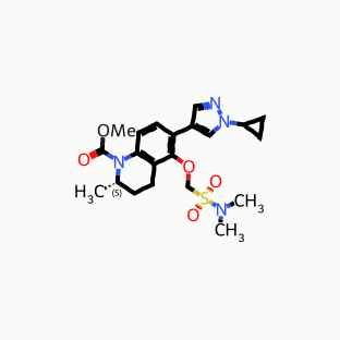 COC(=O)N1c2ccc(-c3cnn(C4CC4)c3)c(OCS(=O)(=O)N(C)C)c2CC[C@@H]1C